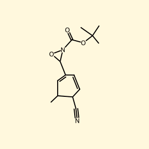 CC1C=C(C2ON2C(=O)OC(C)(C)C)C=CC1C#N